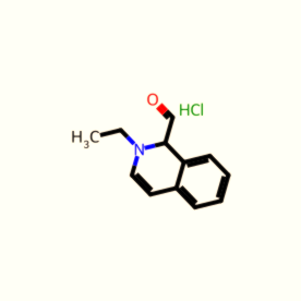 CCN1C=Cc2ccccc2C1C=O.Cl